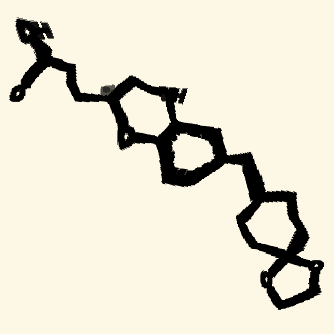 O=C(O)CC[C@H]1CNc2cc(C=C3CCC4(CC3)OCCO4)ccc2O1